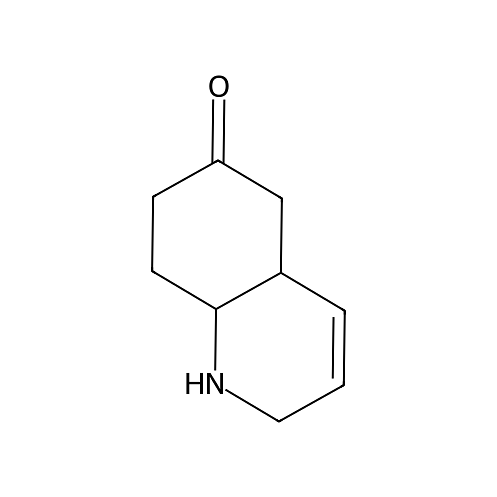 O=C1CCC2NCC=CC2C1